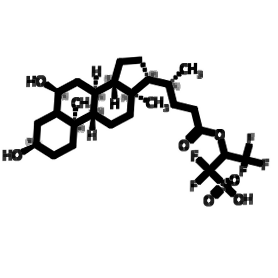 C[C@H](CCC(=O)OC(C(F)(F)F)C(F)(F)S(=O)(=O)O)[C@H]1CC[C@H]2[C@@H]3C[C@H](O)C4C[C@H](O)CC[C@]4(C)[C@H]3CC[C@]12C